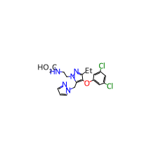 CCc1nn(CCNC(=O)O)c(Cn2cccn2)c1Oc1cc(Cl)cc(Cl)c1